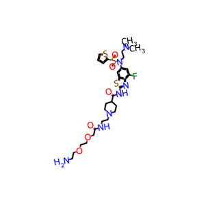 CN(C)CCN(c1cc(F)c2nc(NC(=O)C3CCN(CCNC(=O)COCCOCCN)CC3)sc2c1)S(=O)(=O)c1cccs1